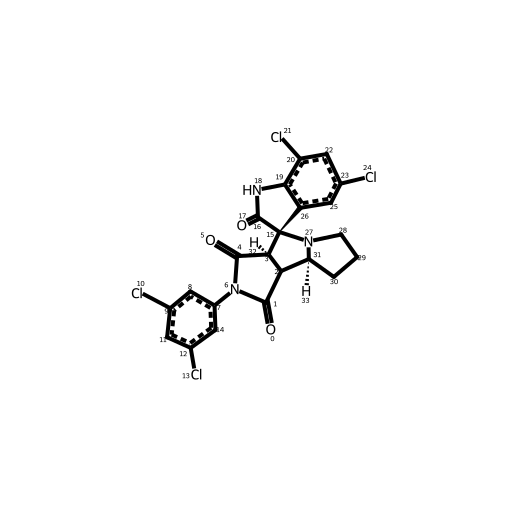 O=C1C2[C@@H](C(=O)N1c1cc(Cl)cc(Cl)c1)[C@]1(C(=O)Nc3c(Cl)cc(Cl)cc31)N1CCC[C@@H]21